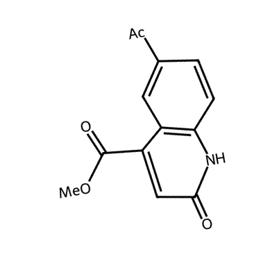 COC(=O)c1cc(=O)[nH]c2ccc(C(C)=O)cc12